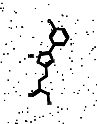 CCOC(=N)CCc1nc(-c2cccc(Cl)c2)no1.Cl